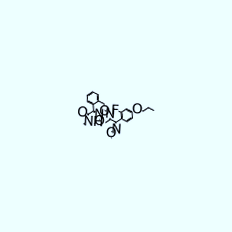 CCCOc1ccc(C(=NOC)C(C)=NOCc2ccccc2C(=NOC)C(=O)NC)c(F)c1